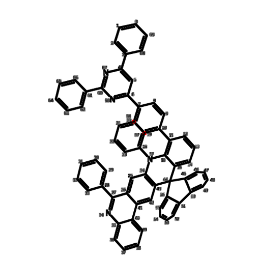 c1ccc(-c2cc(-c3ccc(-c4cccc5c4N(c4ccccc4)c4cc6c(-c7ccccc7)nc7ccccc7c6cc4C54c5ccccc5-c5ccccc54)cc3)nc(-c3ccccc3)n2)cc1